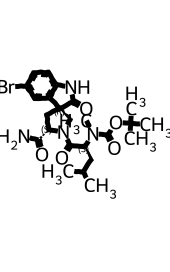 CC(C)C[C@@H](C(=O)N1C[C@]2(C[C@H]1C(N)=O)C(=O)Nc1ccc(Br)cc12)N(C)C(=O)OC(C)(C)C